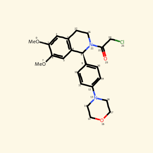 COc1cc2c(cc1OC)[C@H](c1ccc(N3CCOCC3)cc1)N(C(=O)CCl)CC2